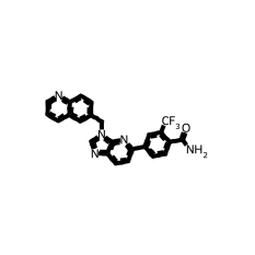 NC(=O)c1ccc(-c2ccc3ncn(Cc4ccc5ncccc5c4)c3n2)cc1C(F)(F)F